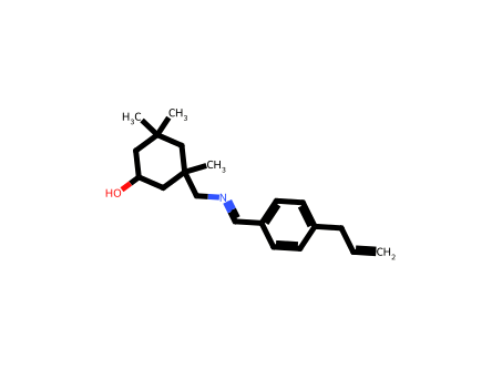 C=CCc1ccc(C=NCC2(C)CC(O)CC(C)(C)C2)cc1